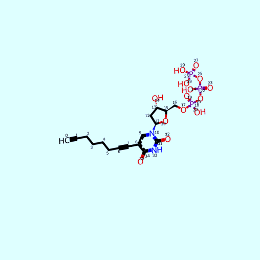 C#CCCCCC#Cc1cn([C@H]2C[C@H](O)[C@@H](COP(=O)(O)OP(=O)(O)OP(=O)(O)O)O2)c(=O)[nH]c1=O